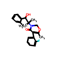 CC1=C(c2ccccc2F)C(=O)N(C(C)(C)C(O)c2ccccc2C)CO1